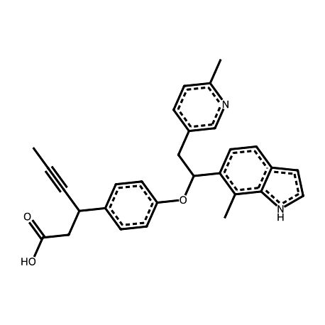 CC#CC(CC(=O)O)c1ccc(OC(Cc2ccc(C)nc2)c2ccc3cc[nH]c3c2C)cc1